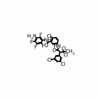 CC(Cl)(Cl)C(C(=O)Nc1ccc(Cl)c(C(=O)Nc2c(F)c(N)c(F)c(F)c2F)c1)c1cc(Cl)cc(Cl)c1